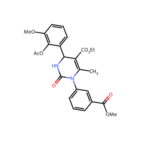 CCOC(=O)C1=C(C)N(c2cccc(C(=O)OC)c2)C(=O)NC1c1cccc(OC)c1OC(C)=O